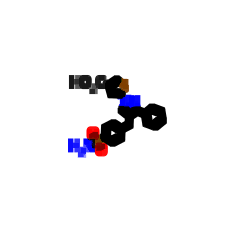 NS(=O)(=O)c1ccc(Cc2cn(-c3cc(C(=O)O)cs3)nc2-c2ccccc2)cc1